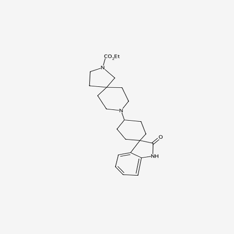 CCOC(=O)N1CCC2(CCN(C3CCC4(CC3)C(=O)Nc3ccccc34)CC2)C1